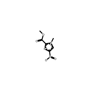 COC(=O)c1nc([N+](=O)[O-])cn1C